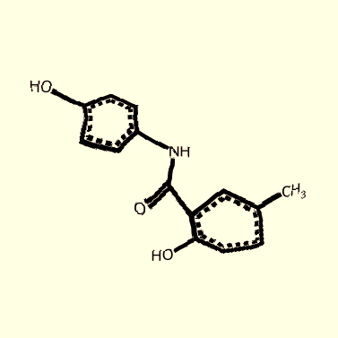 Cc1ccc(O)c(C(=O)Nc2ccc(O)cc2)c1